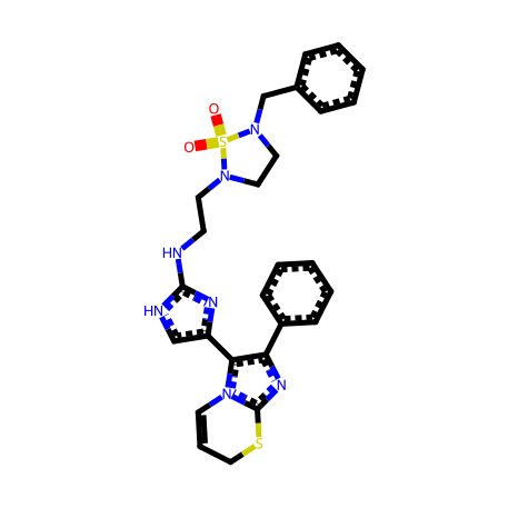 O=S1(=O)N(CCNc2nc(-c3c(-c4ccccc4)nc4n3C=CCS4)c[nH]2)CCN1Cc1ccccc1